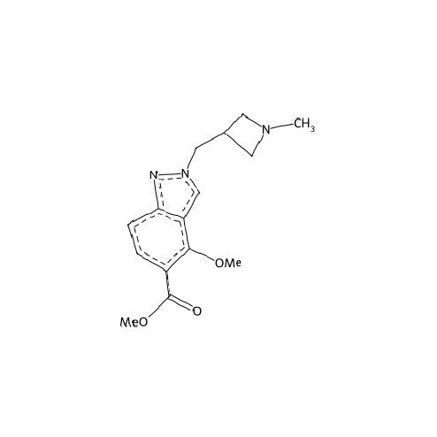 COC(=O)c1ccc2nn(CC3CN(C)C3)cc2c1OC